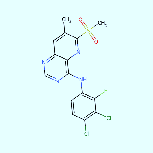 Cc1cc2ncnc(Nc3ccc(Cl)c(Cl)c3F)c2nc1S(C)(=O)=O